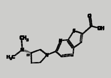 CN(C)[C@H]1CCN(c2ccc3cc(C(=O)O)sc3n2)C1